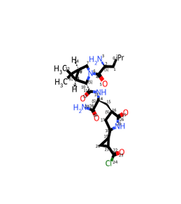 CC(C)C[C@H](N)C(=O)N1C[C@H]2[C@@H]([C@H]1C(=O)N[C@@H](C[C@@H]1CC(C3CC3C(=O)Cl)NC1=O)C(N)=O)C2(C)C